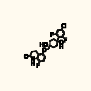 O=C1CCc2c(OC[C@]3(O)CC[C@@](O)(c4c(F)cc(Cl)cc4F)CC3)ccc(F)c2N1